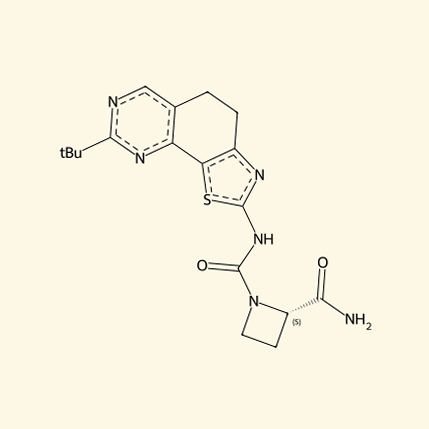 CC(C)(C)c1ncc2c(n1)-c1sc(NC(=O)N3CC[C@H]3C(N)=O)nc1CC2